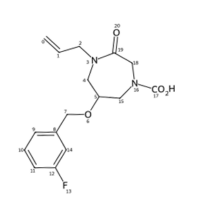 C=CCN1CC(OCc2cccc(F)c2)CN(C(=O)O)CC1=O